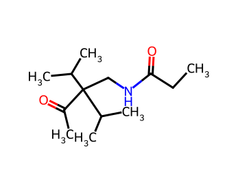 CCC(=O)NCC(C(C)=O)(C(C)C)C(C)C